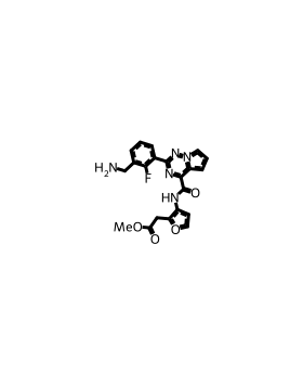 COC(=O)Cc1occc1NC(=O)c1nc(-c2cccc(CN)c2F)nn2cccc12